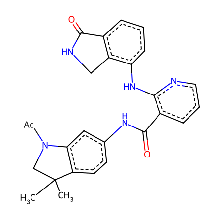 CC(=O)N1CC(C)(C)c2ccc(NC(=O)c3cccnc3Nc3cccc4c3CNC4=O)cc21